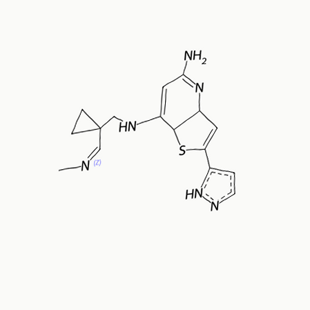 C/N=C\C1(CNC2=CC(N)=NC3C=C(c4ccn[nH]4)SC23)CC1